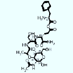 CC(=O)N[C@@H]1[C@@H](OC(C)CN[C@@H](CO)C(=O)N[C@H](CCC(=O)OC(=O)[C@@H](N)Cc2ccccc2)C(N)=O)[C@H](O)[C@@H](CO)O[C@@H]1O